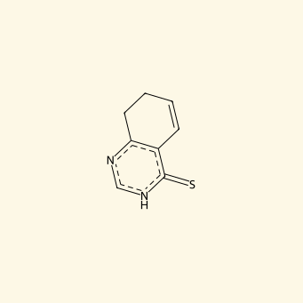 S=c1[nH]cnc2c1C=CCC2